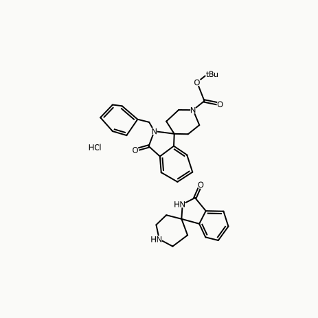 CC(C)(C)OC(=O)N1CCC2(CC1)c1ccccc1C(=O)N2Cc1ccccc1.Cl.O=C1NC2(CCNCC2)c2ccccc21